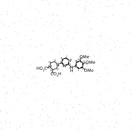 COc1cc(Nc2nccc(N3CCN(C(=O)O)C(C(=O)O)C3)n2)cc(OC)c1OC